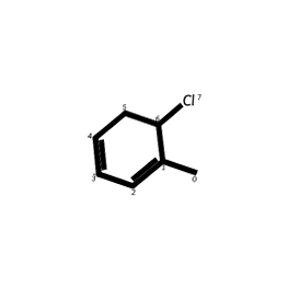 CC1=C[C]=CCC1Cl